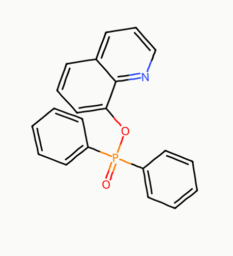 O=P(Oc1cccc2cccnc12)(c1ccccc1)c1ccccc1